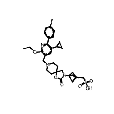 CCOc1nc(-c2ccc(F)cc2)c(C2CC2)cc1CN1CCC2(CC1)CN(C13CC(CS(=O)(=O)O)(C1)C3)C(=O)O2